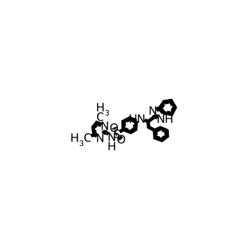 Cc1cc(C)nc(NS(=O)(=O)c2ccc(NC(Cc3ccccc3)c3nc4ccccc4[nH]3)cc2)n1